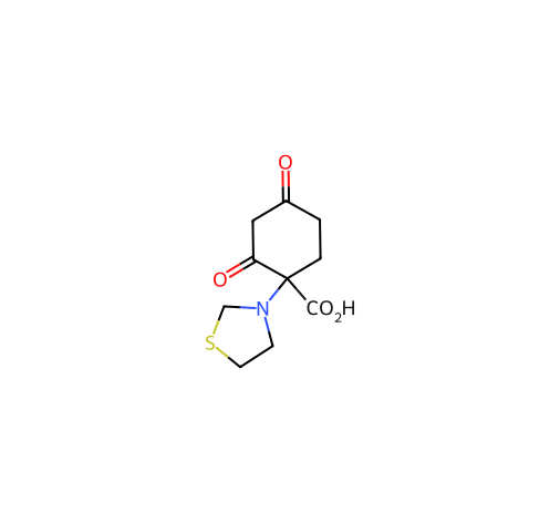 O=C1CCC(C(=O)O)(N2CCSC2)C(=O)C1